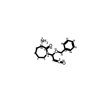 N[C@H]1CCCCN(C(C=C=O)OCc2ccccc2)C1=O